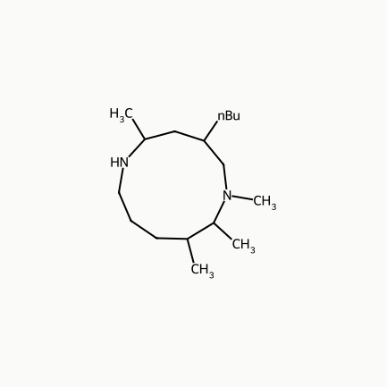 CCCCC1CC(C)NCCCC(C)C(C)N(C)C1